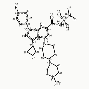 CC(C)N1CCN(C2CCN(c3cc(C(=O)NS(=O)(=O)N(C)C)nc4c3c(C3CCC3)nn4-c3ccc(F)cc3)CC2)CC1